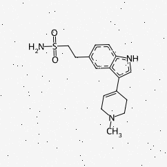 CN1CC=C(c2c[nH]c3ccc(CCS(N)(=O)=O)cc23)CC1